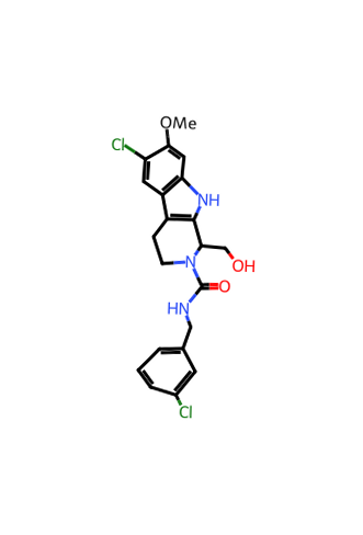 COc1cc2[nH]c3c(c2cc1Cl)CCN(C(=O)NCc1cccc(Cl)c1)C3CO